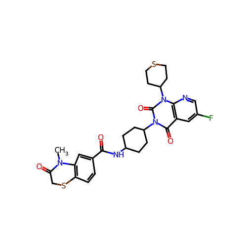 CN1C(=O)CSc2ccc(C(=O)NC3CCC(n4c(=O)c5cc(F)cnc5n(C5CCSCC5)c4=O)CC3)cc21